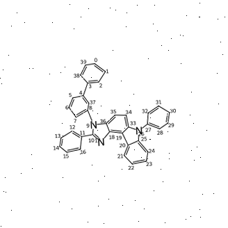 c1ccc(-c2cccc(-n3c(-c4ccccc4)nc4c5c6ccccc6n(-c6ccccc6)c5ccc43)c2)cc1